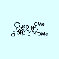 COc1cc(OC)nc(NC(=O)NS(=O)(=O)c2ccccc2C(O)CCl)n1